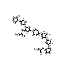 Cc1ccsc1-c1ccc(-c2sc(-c3ccc(-c4cc(C)c(-c5ccc(-c6sccc6CC(=O)O)s5)s4)cc3)cc2CC(=O)O)s1